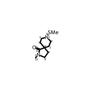 CSN1CCC2(CC1)CCN(C)C2=O